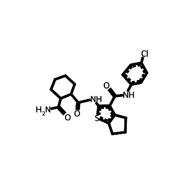 NC(=O)C1CCCCC1C(=O)Nc1sc2c(c1C(=O)Nc1ccc(Cl)cc1)CCC2